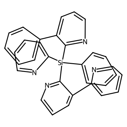 c1ccc(-c2cccnc2[Si](c2ccccc2)(c2ccccn2)c2ncccc2-c2ccccn2)cc1